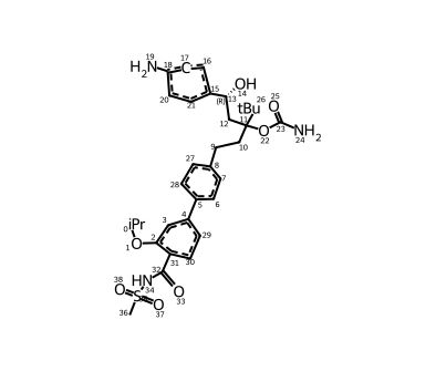 CC(C)Oc1cc(-c2ccc(CCC(C[C@@H](O)c3ccc(N)cc3)(OC(N)=O)C(C)(C)C)cc2)ccc1C(=O)NS(C)(=O)=O